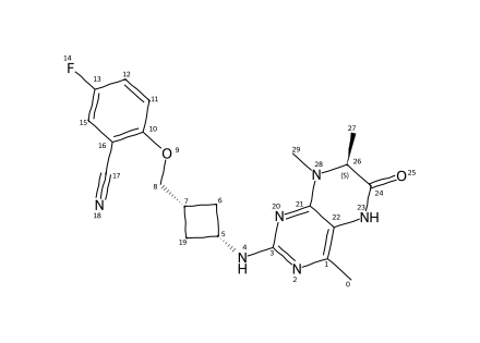 Cc1nc(N[C@H]2C[C@@H](COc3ccc(F)cc3C#N)C2)nc2c1NC(=O)[C@H](C)N2C